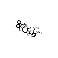 COc1ccnc(C(=O)N[C@H]2CCC[C@H](Oc3ccccc3)[C@@H](OC(=O)C3CCCC3)[C@H](C)OC2=O)c1OCOC(C)=O